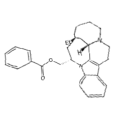 CC[C@]12CCCN3CCc4c(n(c5ccccc45)[C@H](COC(=O)c4ccccc4)C1)[C@@H]32